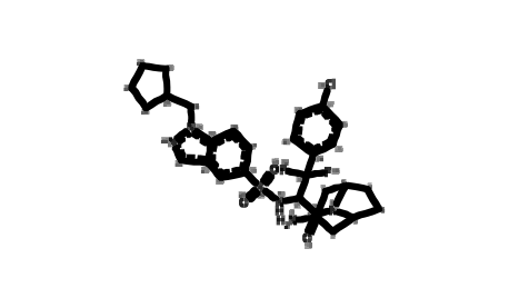 NC1CC2CCC(C1)N2C(=O)C(NS(=O)(=O)c1ccc2c(cnn2CC2CCCC2)c1)C(F)(F)c1ccc(Cl)cc1